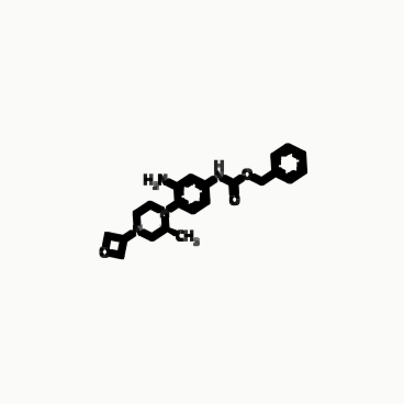 C[C@H]1CN(C2COC2)CCN1c1ccc(NC(=O)OCc2ccccc2)cc1N